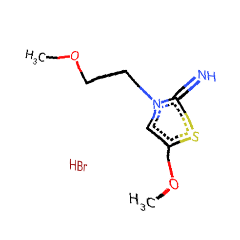 Br.COCCn1cc(OC)sc1=N